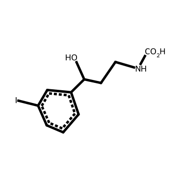 O=C(O)NCCC(O)c1cccc(I)c1